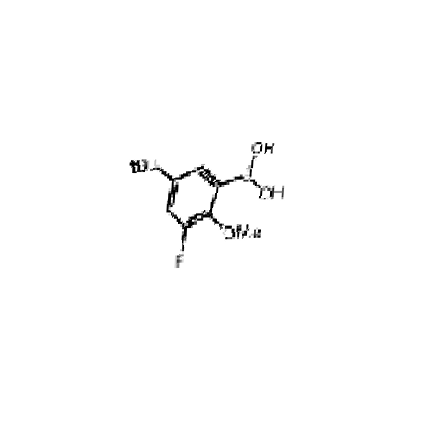 COc1c(F)cc(C(C)(C)C)cc1B(O)O